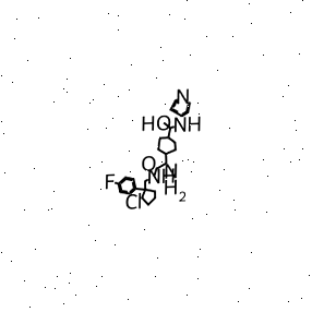 NC(C(=O)NCC1(c2ccc(F)cc2Cl)CCCC1)C1CCC(C(O)Nc2ccncc2)CC1